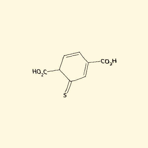 O=C(O)C1=CC(=S)C(C(=O)O)C=C1